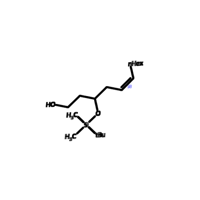 CCCCCC/C=C\CC(CCO)O[Si](C)(C)C(C)(C)C